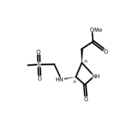 COC(=O)C[C@H]1NC(=O)[C@@H]1NCS(C)(=O)=O